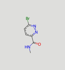 CNC(=O)c1ccc(Br)nn1